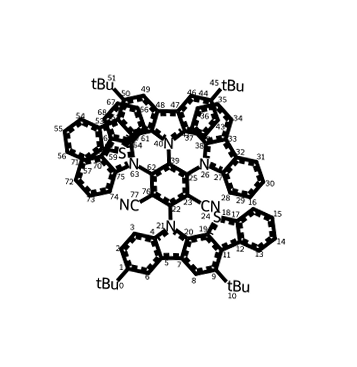 CC(C)(C)c1ccc2c(c1)c1cc(C(C)(C)C)c3c4ccccc4sc3c1n2-c1c(C#N)c(-n2c3ccccc3c3ccccc32)c(-n2c3ccc(C(C)(C)C)cc3c3cc(C(C)(C)C)c4c5ccccc5sc4c32)c(-n2c3ccccc3c3ccccc32)c1C#N